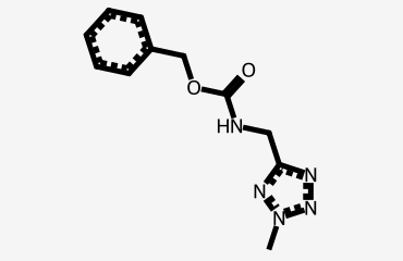 Cn1nnc(CNC(=O)OCc2ccccc2)n1